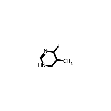 CC1CNC=NC1I